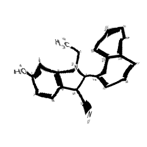 CCN1c2cc(O)ccc2C(C#N)C1c1cccc2ccccc12